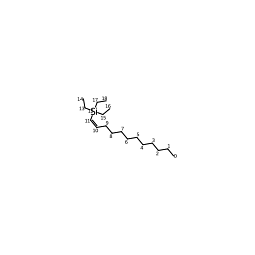 CCCCCCCCCC/C=C\[Si](CC)(CC)CC